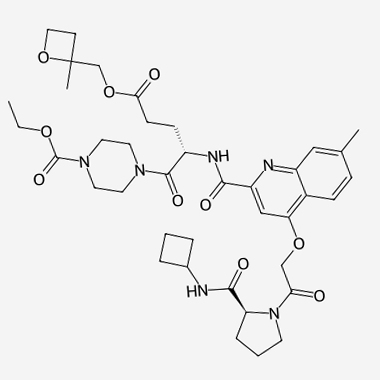 CCOC(=O)N1CCN(C(=O)[C@H](CCC(=O)OCC2(C)CCO2)NC(=O)c2cc(OCC(=O)N3CCC[C@H]3C(=O)NC3CCC3)c3ccc(C)cc3n2)CC1